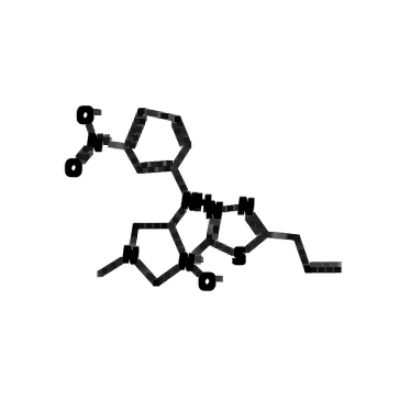 C=CCc1nnc([N+]2([O-])CN(C)CC2Nc2cccc([N+](=O)[O-])c2)s1